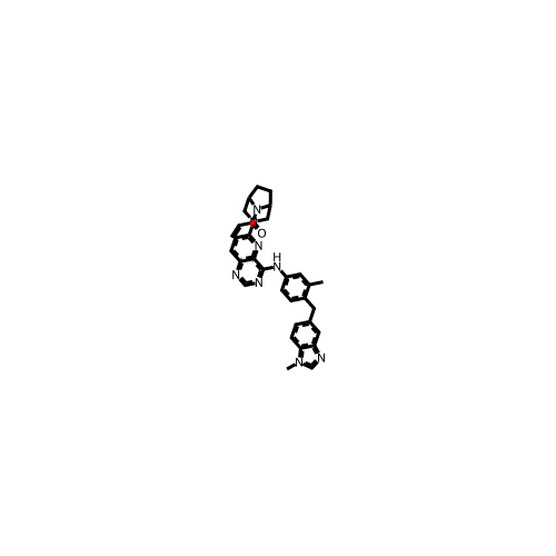 C=CC(=O)N1C2CCC1CN(c1ccc3ncnc(Nc4ccc(Cc5ccc6c(c5)ncn6C)c(C)c4)c3n1)C2